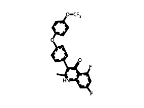 Cc1[nH]c2cc(F)cc(F)c2c(=O)c1-c1ccc(Oc2ccc(OC(F)(F)F)cc2)cc1